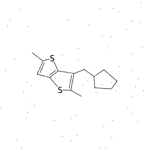 Cc1cc2sc(C)c(CC3CCCC3)c2s1